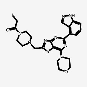 O=C(CI)N1CCN(Cc2nc3nc(-c4cccc5[nH]ncc45)nc(N4CCOCC4)c3s2)CC1